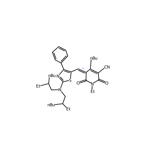 CCCCC1=C(C#N)C(=O)N(CC)C(=O)/C1=C\c1sc(N(CC(CC)CCCC)CC(CC)CCCC)nc1-c1ccccc1